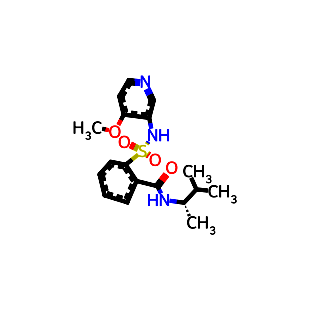 COc1ccncc1NS(=O)(=O)c1ccccc1C(=O)N[C@@H](C)C(C)C